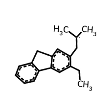 CCc1cc2c(cc1C[C](C)C)Cc1ccccc1-2